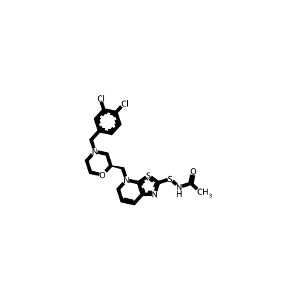 CC(=O)NSc1nc2c(s1)N(C[C@@H]1CN(Cc3ccc(Cl)c(Cl)c3)CCO1)CC=C2